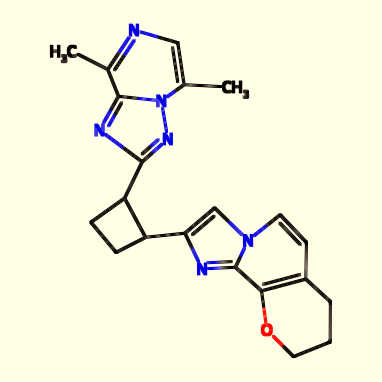 Cc1ncc(C)n2nc(C3CCC3c3cn4ccc5c(c4n3)OCCC5)nc12